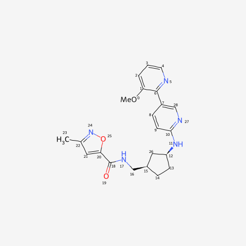 COc1cccnc1-c1ccc(N[C@H]2CC[C@@H](CNC(=O)c3cc(C)no3)C2)nc1